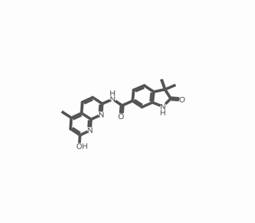 Cc1cc(O)nc2nc(NC(=O)c3ccc4c(c3)NC(=O)C4(C)C)ccc12